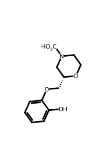 O=C(O)N1CCO[C@H](COc2ccccc2O)C1